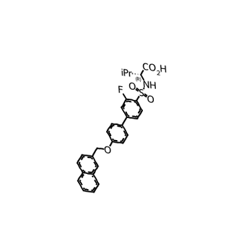 CC(C)[C@@H](NS(=O)(=O)c1ccc(-c2ccc(OCc3ccc4ccccc4c3)cc2)cc1F)C(=O)O